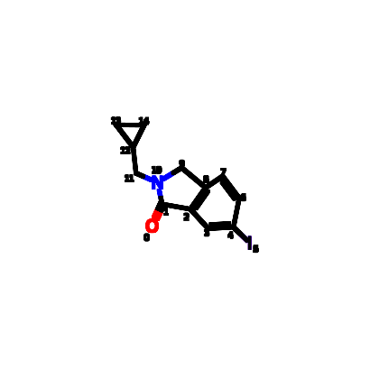 O=C1c2cc(I)ccc2CN1CC1CC1